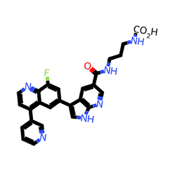 O=C(O)NCCCNC(=O)c1cnc2[nH]cc(-c3cc(F)c4nccc(-c5cccnc5)c4c3)c2c1